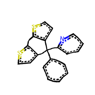 c1ccc(C2(c3ccccn3)c3ccsc3-c3sccc32)cc1